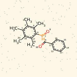 Cc1c(C)c(C)c([PH](=O)C(=O)c2ccccc2)c(C)c1C